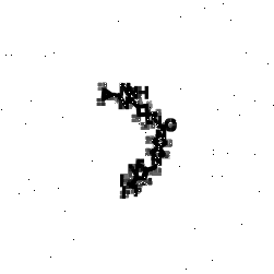 O=C(N1CC2(CC(c3nc(C4CC4)n[nH]3)C2)C1)N1CC2(CN(Cc3cc(C(F)(F)F)ns3)C2)C1